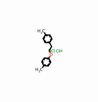 Cc1ccc(CCOc2ccc(C)cc2)cc1.Cl.Cl